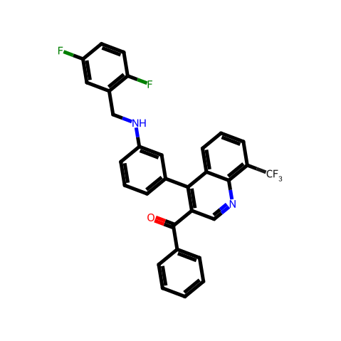 O=C(c1ccccc1)c1cnc2c(C(F)(F)F)cccc2c1-c1cccc(NCc2cc(F)ccc2F)c1